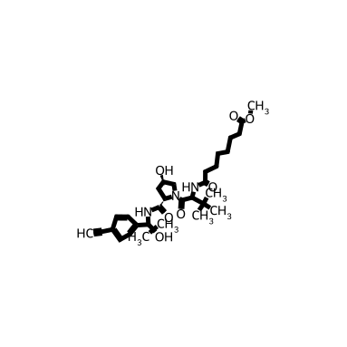 C#Cc1ccc(C(NC(=O)[C@@H]2C[C@@H](O)CN2C(=O)C(NC(=O)CCCCCCC(=O)OC)C(C)(C)C)C(C)(C)O)cc1